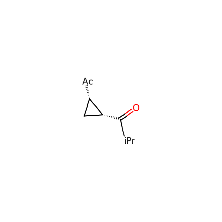 CC(=O)[C@H]1C[C@H]1C(=O)C(C)C